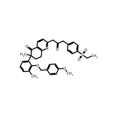 CCS(=O)(=O)c1ccc(CC(=O)Cc2ccc3c(n2)CCC(C)(c2cccc(C)c2OCc2ccc(OC)cc2)C3=O)cc1